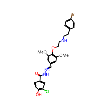 COc1cc(/C=N/NC(=O)c2ccc(O)c(Cl)c2)cc(OC)c1OCCNCCc1ccc(Br)cc1